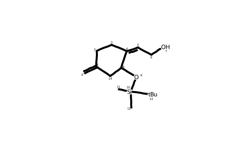 C=C1CCC(=CCO)C(O[Si](C)(C)C(C)(C)C)C1